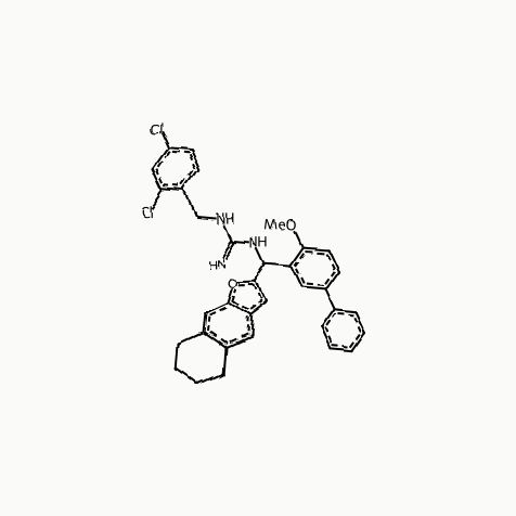 COc1ccc(-c2ccccc2)cc1C(NC(=N)NCc1ccc(Cl)cc1Cl)c1cc2cc3c(cc2o1)CCCC3